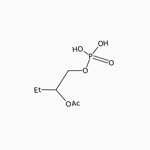 CCC(COP(=O)(O)O)OC(C)=O